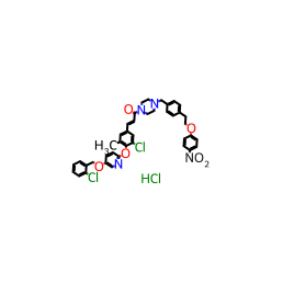 Cc1cc(C=CC(=O)N2CCN(Cc3ccc(CCOc4ccc([N+](=O)[O-])cc4)cc3)CC2)cc(Cl)c1Oc1ccc(OCc2ccccc2Cl)cn1.Cl